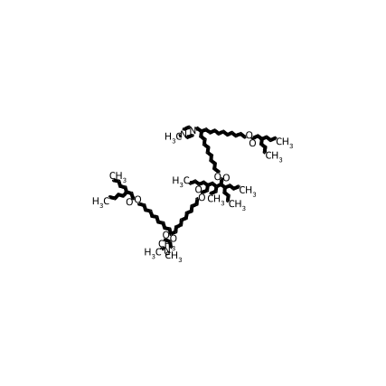 CCCCCC(CCCCC)CC(=O)OCCCCCCCCCCC1(CCCCCCCCCCOC(=O)CC(CCCCC)CC(CCC)C(C(=O)OCCCCCCCCCCC(CCCCCCCCCCOC(=O)CC(CCCC)CCCC)CN2CCN(C)CC2)C(CCCC)CCCC)OCC(CN(C)C(C)C)O1